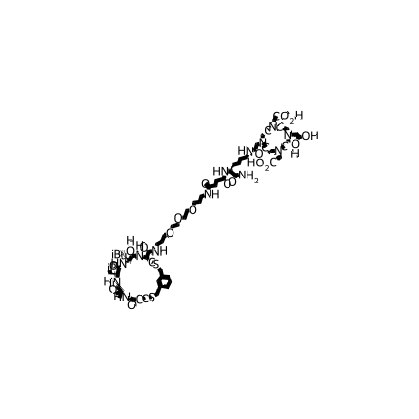 CC[C@H](C)[C@@H]1NC(=O)[C@H](CC(C)C)NC(=O)C(C)(C)NC(=O)CCSCc2cccc(c2)CSCC(C(=O)NCCCOCCOCCOCCCNC(=O)CCC(=O)N[C@@H](CCCCNC(=O)CN2CCN(CC(=O)O)CCN(CC(O)O)CCN(CC(=O)O)CC2)C(N)=O)NC1O